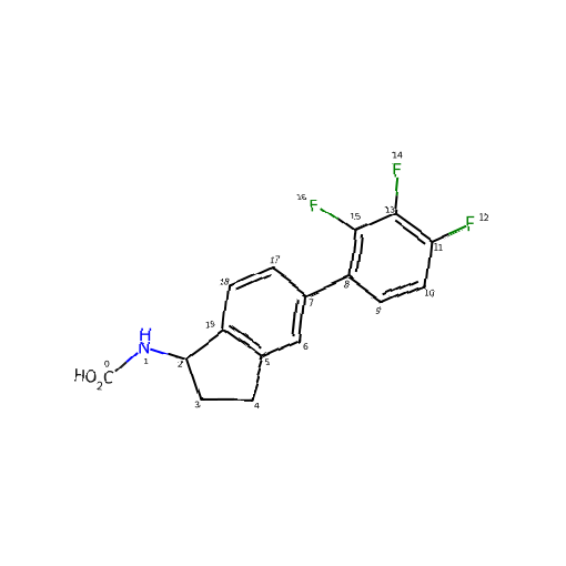 O=C(O)NC1CCc2cc(-c3ccc(F)c(F)c3F)ccc21